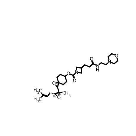 CC(C)=CC[C@H]1O[C@@]1(C)C1OC12CCC(OC(=O)N1CC(CCC(=O)NCCN3CCOCC3)C1)CC2